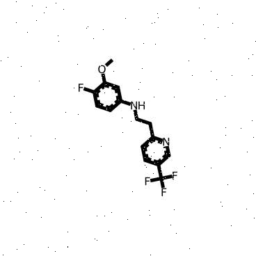 COc1cc(NCCc2ccc(C(F)(F)F)cn2)ccc1F